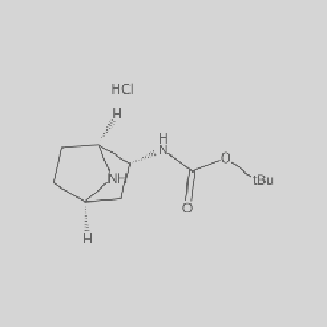 CC(C)(C)OC(=O)N[C@@H]1C[C@H]2CC[C@@H]1N2.Cl